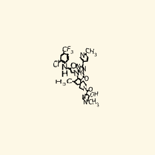 Cc1ccc(-c2nc3n(CC(=O)Nc4ccc(C(F)(F)F)cc4Cl)c4c(c(=O)n3n2)C2(CCN(C(=O)c3ncnc(C)c3O)CC2)CC4C)cn1